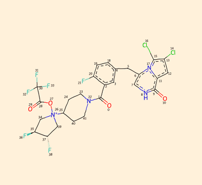 O=C(c1cc(Cc2c[nH]c(=O)c3cc(Cl)c(Cl)n23)ccc1F)N1CCC([N+]2(OC(=O)C(F)(F)F)C[C@H](F)[C@@H](F)C2)CC1